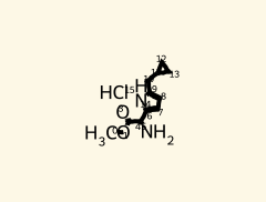 COC(=O)C(N)c1ccc(CC2CC2)[nH]1.Cl